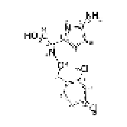 Nc1nc(C(=NOCc2ccc(Cl)cc2Cl)C(=O)O)cs1